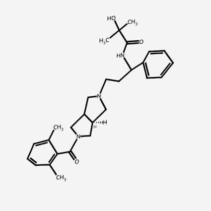 Cc1cccc(C)c1C(=O)N1CC2CN(CCC(NC(=O)C(C)(C)O)c3ccccc3)C[C@H]2C1